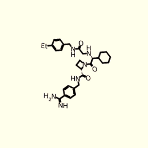 CCc1ccc(CNC(=O)CN[C@@H](C(=O)N2CC[C@H]2C(=O)NCc2ccc(C(=N)N)cc2)C2CCCCC2)cc1